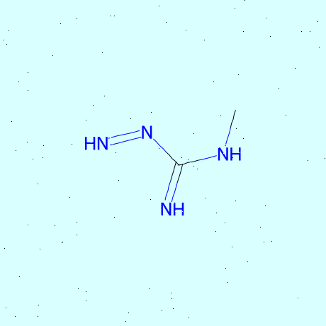 CNC(=N)N=N